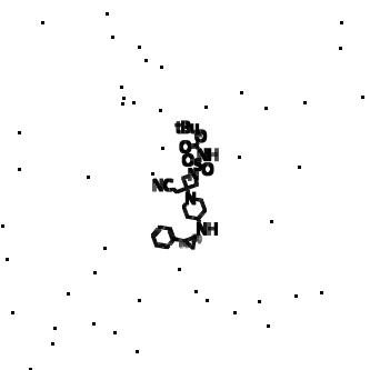 CC(C)(C)OC(=O)NS(=O)(=O)N1CC(CC#N)(N2CCC(N[C@@H]3C[C@H]3c3ccccc3)CC2)C1